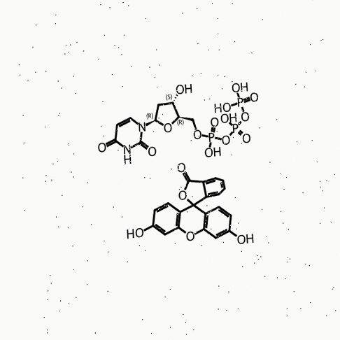 O=C1OC2(c3ccc(O)cc3Oc3cc(O)ccc32)c2ccccc21.O=c1ccn([C@H]2C[C@H](O)[C@@H](COP(=O)(O)OP(=O)(O)OP(=O)(O)O)O2)c(=O)[nH]1